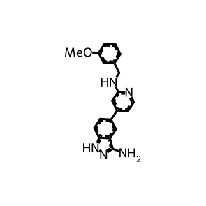 COc1cccc(CNc2cc(-c3ccc4[nH]nc(N)c4c3)ccn2)c1